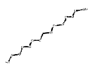 OOOOOOOCOOOOOOO